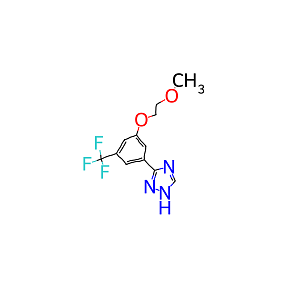 COCCOc1cc(-c2nc[nH]n2)cc(C(F)(F)F)c1